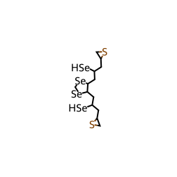 [SeH]C(CC1CS1)CC1[Se]C[Se]C1CC([SeH])CC1CS1